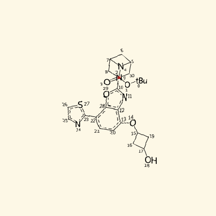 CC(C)(C)OC(=O)N1C2CC1CN(c1nc3c(OC4CC(O)C4)ccc(-c4nccs4)c3o1)C2